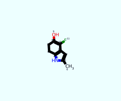 Cc1cc2c([nH]1)CCC(O)=C2F